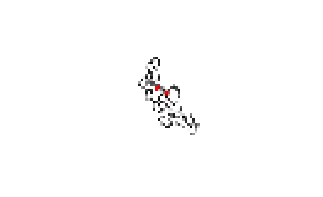 CC1(C)c2ccccc2-c2ccc(N(c3ccc4c(c3)C3(c5ccccc5-4)c4ccc(C5CCCCC5)cc4-c4cccc5cccc3c45)c3cccc4ccccc34)cc21